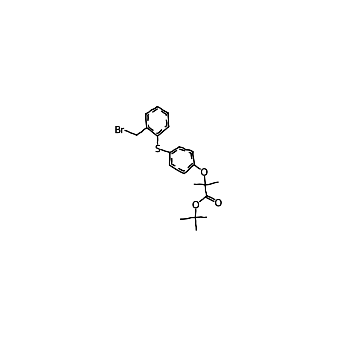 CC(C)(C)OC(=O)C(C)(C)Oc1ccc(Sc2ccccc2CBr)cc1